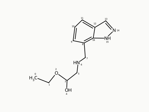 CCOC(O)CNCc1cccc2cn[nH]c12